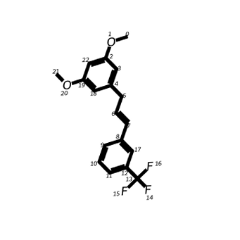 COc1cc(C/C=C/c2cccc(C(F)(F)F)c2)cc(OC)c1